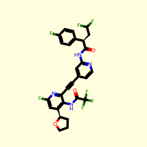 O=C(Nc1cc(C#Cc2nc(F)cc([C@H]3CCCO3)c2NC(=O)C(F)(F)F)ccn1)[C@H](CC(F)F)c1ccc(F)cc1